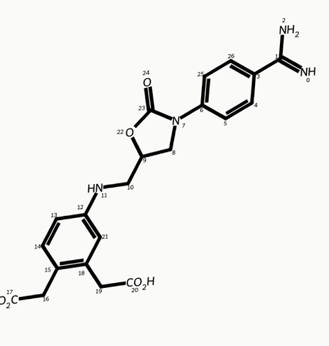 N=C(N)c1ccc(N2CC(CNc3ccc(CC(=O)O)c(CC(=O)O)c3)OC2=O)cc1